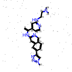 C=C(Nc1cc2cc(-c3cn(C)nn3)ccc2cn1)c1ccnc(NCCN(C)C)c1